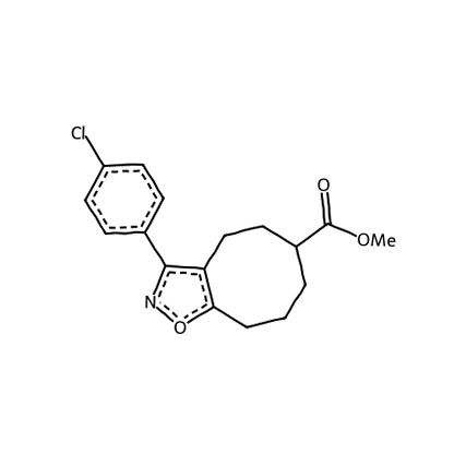 COC(=O)C1CCCc2onc(-c3ccc(Cl)cc3)c2CC1